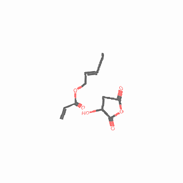 C=CC(=O)OCC=CC.O=C1CC(O)C(=O)O1